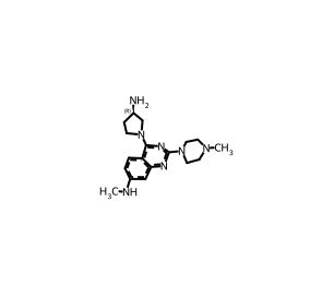 CNc1ccc2c(N3CC[C@@H](N)C3)nc(N3CCN(C)CC3)nc2c1